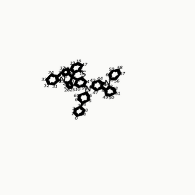 c1ccc(-c2ccc(N(c3ccc4c(c3)Sc3ccccc3C43c4ccccc4-n4c5ccccc5c5cccc3c54)c3ccc4c(c3)c3ccccc3n4-c3ccccc3)cc2)cc1